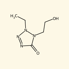 CCn1nnc(=O)n1CCO